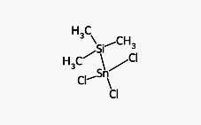 C[Si](C)(C)[Sn]([Cl])([Cl])[Cl]